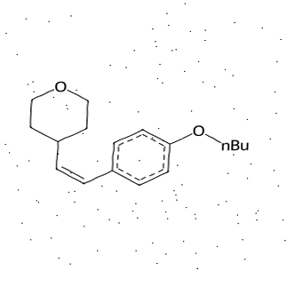 CCCCOc1ccc(/C=C\C2CCOCC2)cc1